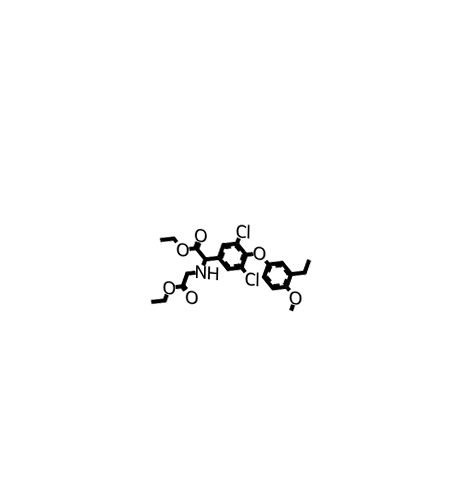 CCOC(=O)CNC(C(=O)OCC)c1cc(Cl)c(Oc2ccc(OC)c(CC)c2)c(Cl)c1